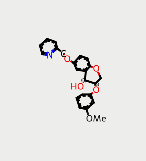 COc1cccc(O[C@H]2COc3ccc(OCc4ccccn4)cc3[C@H]2O)c1